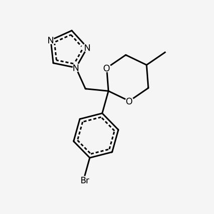 CC1COC(Cn2cncn2)(c2ccc(Br)cc2)OC1